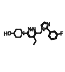 CCc1cc(N2CCC(O)CC2)nnc1Cn1ccnc1-c1cccc(F)c1